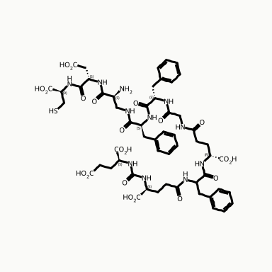 N[C@@H](CNC(=O)[C@H](Cc1ccccc1)NC(=O)[C@H](Cc1ccccc1)NC(=O)CNC(=O)CC[C@@H](NC(=O)C(Cc1ccccc1)NC(=O)CC[C@H](NC(=O)N[C@@H](CCC(=O)O)C(=O)O)C(=O)O)C(=O)O)C(=O)N[C@@H](CC(=O)O)C(=O)N[C@@H](CS)C(=O)O